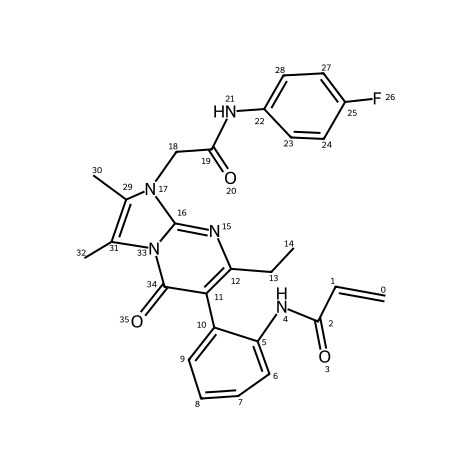 C=CC(=O)Nc1ccccc1-c1c(CC)nc2n(CC(=O)Nc3ccc(F)cc3)c(C)c(C)n2c1=O